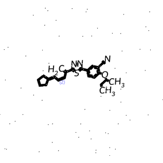 C=C(/C=C\C=C1CCCC1)c1nnc(-c2ccc(OC(C)CC)c(C#N)c2)s1